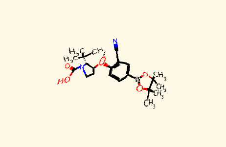 CC(C)(C)[C@@H]1C(Oc2ccc(B3OC(C)(C)C(C)(C)O3)cc2C#N)CCN1C(=O)O